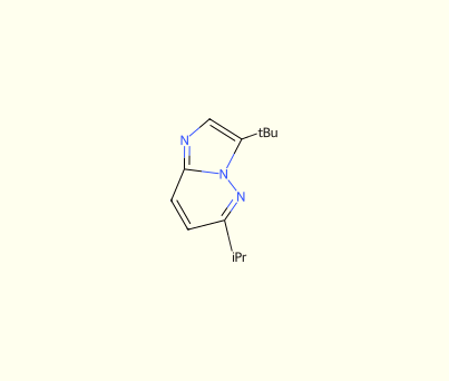 CC(C)c1ccc2ncc(C(C)(C)C)n2n1